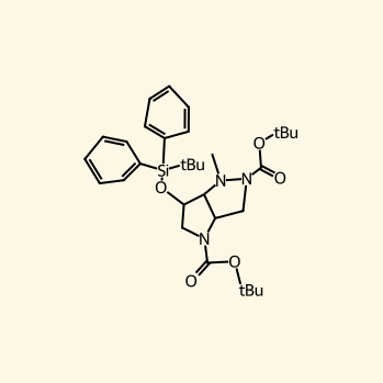 CN1C2C(O[Si](c3ccccc3)(c3ccccc3)C(C)(C)C)CN(C(=O)OC(C)(C)C)C2CN1C(=O)OC(C)(C)C